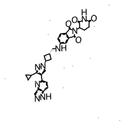 O=C1CCC(N2C(=O)c3ccc(NC[C@H]4C[C@H](n5cc(-c6ccc7[nH]ncc7n6)c(C6CC6)n5)C4)cc3C2=O)C(=O)N1